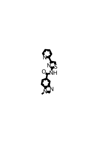 Cn1cnc2cc(C(=O)Nc3nc(-c4ccccn4)cs3)ccc21